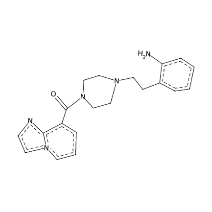 Nc1ccccc1CCN1CCN(C(=O)c2cccn3ccnc23)CC1